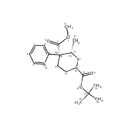 COC(=O)[C@@]1(c2ccccn2)CCN(C(=O)OC(C)(C)C)C[C@H]1C